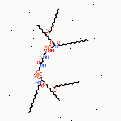 CCCCCCCCCCCCCC(=O)/N=C(\COCC[C@@H](CCCCCCC)OC(=O)CCCCCCCCCCC)COP(=O)(O)OCCNC(=O)CC(=O)NCCOP(=O)(OC)OC[C@H](COCC[C@@H](CCCCCCC)OC(=O)CCCCCCCCCCC)NC(=O)CCCCCCCCCCCCC